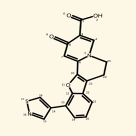 O=C(O)c1cn2c(cc1=O)-c1oc3c(-c4cnsc4)cccc3c1CC2